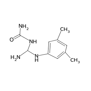 Cc1cc(C)cc(NC(N)NC(N)=O)c1